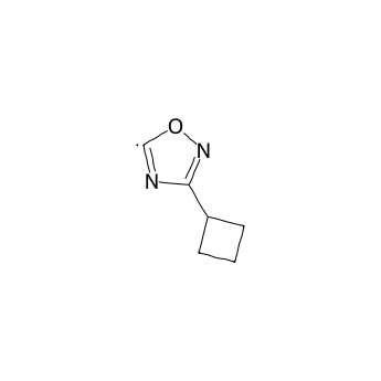 [c]1nc(C2CCC2)no1